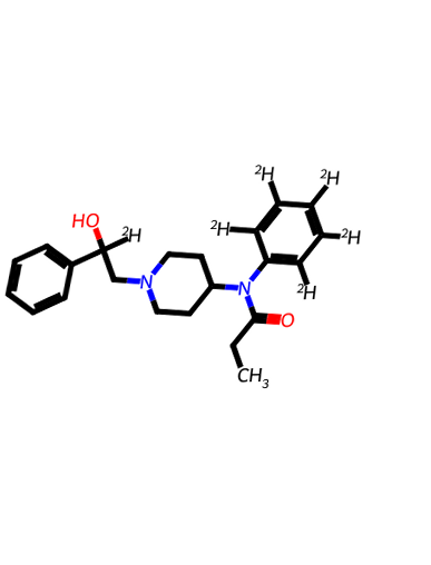 [2H]c1c([2H])c([2H])c(N(C(=O)CC)C2CCN(CC([2H])(O)c3ccccc3)CC2)c([2H])c1[2H]